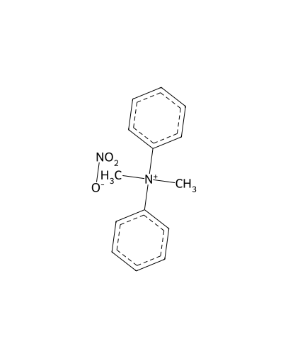 C[N+](C)(c1ccccc1)c1ccccc1.O=[N+]([O-])[O-]